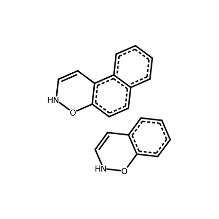 C1=Cc2c(ccc3ccccc23)ON1.C1=Cc2ccccc2ON1